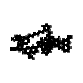 Cc1ncsc1-c1ccc([C@H](C)NC(=O)[C@@H]2C[C@@H](O)CN2C(=O)[C@@H](NC(=O)CCOCCCN2CCC[C@H]2COc2nc(N3CC4CCC(C3)N4C(=O)OC(C)(C)C)c3cnc(-c4cc(O)cc5cccc(F)c45)c(F)c3n2)C(C)(C)C)cc1